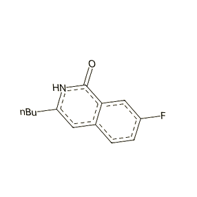 CCCCc1cc2ccc(F)cc2c(=O)[nH]1